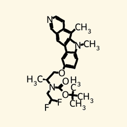 Cc1c2ccncc2cc2c3cc(OC[C@H](C)N(CC(F)F)C(=O)OC(C)(C)C)ccc3n(C)c12